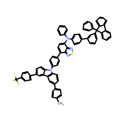 Cc1ccc(-c2ccc3c(c2)c2cc(-c4ccc(C(F)(F)F)cc4)ccc2n3-c2ccc(-c3ccc(N(c4ccccc4)c4ccc(-c5cccc(C6(c7ccccc7)c7ccccc7-c7ccccc76)c5)cc4)c4nsnc34)cc2)cc1